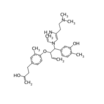 C=CC(Oc1ccc(CCC(=C)O)cc1C)C(c1ccc(C)c(O)c1)N(C=C)/C=C(\N)CCN(C)C